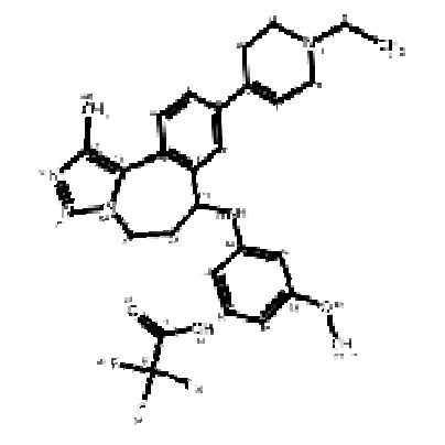 CCN1CC=C(c2ccc3c(c2)C(Nc2cccc(OC)c2)CCn2nnc(C)c2-3)CC1.O=C(O)C(F)(F)F